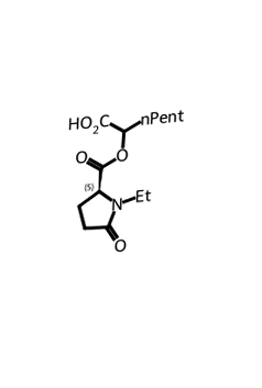 CCCCCC(OC(=O)[C@@H]1CCC(=O)N1CC)C(=O)O